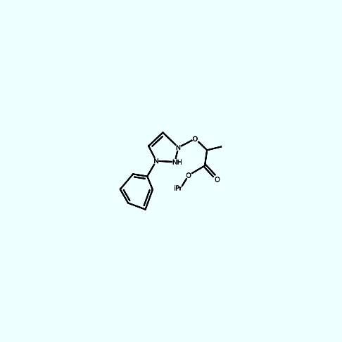 CC(C)OC(=O)C(C)ON1C=CN(c2ccccc2)N1